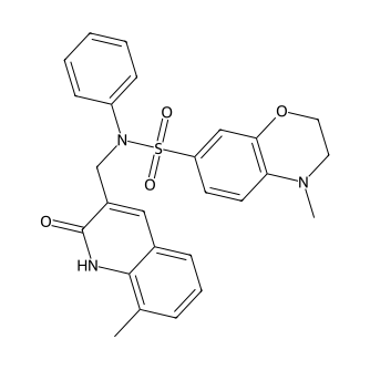 Cc1cccc2cc(CN(c3ccccc3)S(=O)(=O)c3ccc4c(c3)OCCN4C)c(=O)[nH]c12